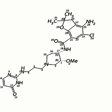 CO[C@@H]1CN(CCCNc2nccc(=O)[nH]2)CC[C@@H]1NC(=O)c1cc(Cl)c(N)c2c1OC(C)(C)C2